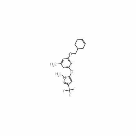 Cc1cc(OCC2CC=CCC2)nc(Oc2cc(C(F)(F)F)nn2C)c1